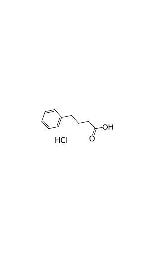 Cl.O=C(O)CCCc1ccccc1